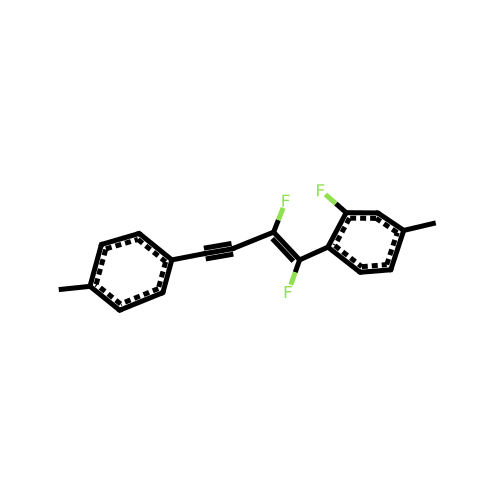 Cc1ccc(C#CC(F)=C(F)c2ccc(C)cc2F)cc1